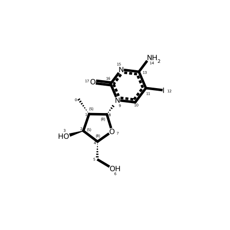 C[C@H]1[C@H](O)[C@@H](CO)O[C@H]1n1cc(I)c(N)nc1=O